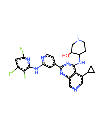 OC1CNCCC1Nc1nc(-c2ccnc(Nc3nc(F)cc(F)c3F)c2)nc2cncc(C3CC3)c12